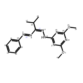 COc1nc(N/N=C(\N=N\c2ccccc2)C(C)C)nc(OC)n1